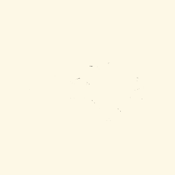 CC1C2=C[C@@H](C2)[C@H](C)[C@@H](C)S(=O)(=O)NC(=O)c2ccc3c(n2)N(C[C@@H]2CC[C@@H]12)C[C@@]1(CCCc2c1ccc(Cl)c2F)CO3